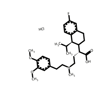 COc1ccc(CCN(C)CC[C@@H](C(=O)O)C2CCc3cc(F)ccc3[C@@H]2C(C)C)cc1OC.Cl